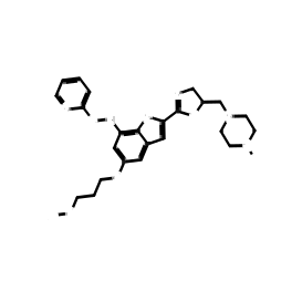 COCCCOc1cc(NSc2ccccn2)c2[nH]c(C3=NCC(CN4CC[S+]([O-])CC4)S3)cc2c1